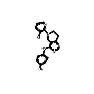 Oc1ccc(Nc2ncnc3c2CN(c2ncccc2Cl)CC3)cc1